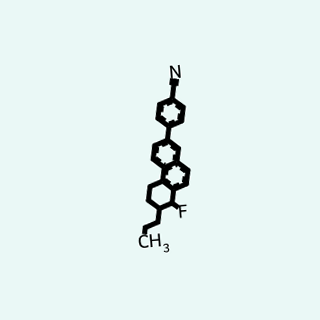 CCCC1CCc2c(ccc3cc(-c4ccc(C#N)cc4)ccc23)C1F